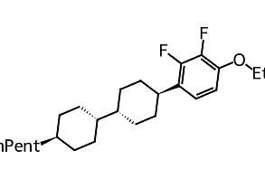 CCCCC[C@H]1CC[C@H]([C@H]2CC[C@H](c3ccc(OCC)c(F)c3F)CC2)CC1